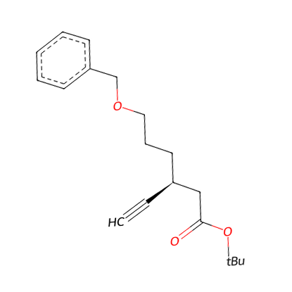 C#C[C@@H](CCCOCc1ccccc1)CC(=O)OC(C)(C)C